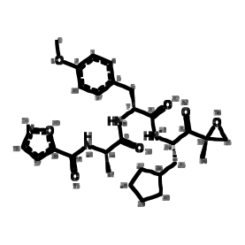 COc1ccc(C[C@H](NC(=O)[C@@H](C)NC(=O)c2ccno2)C(=O)N[C@@H](CC2CCCC2)C(=O)[C@@]2(C)CO2)cc1